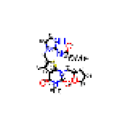 CCn1c(=O)c2c(C)c(CN3CCNC3=NC(=O)OC)sc2n(CC2CCCO2)c1=O